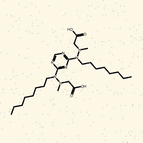 CCCCCCCCN(c1ncnc(N(CCCCCCCC)N(C)CC(=O)O)n1)N(C)CC(=O)O